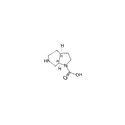 O=C(O)N1CC[C@@H]2CCNC[C@@H]21